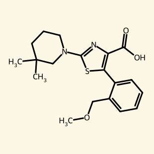 COCc1ccccc1-c1sc(N2CCCC(C)(C)C2)nc1C(=O)O